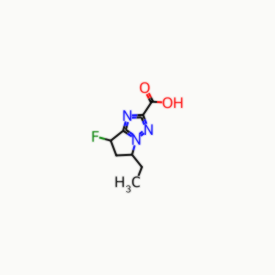 CCC1CC(F)c2nc(C(=O)O)nn21